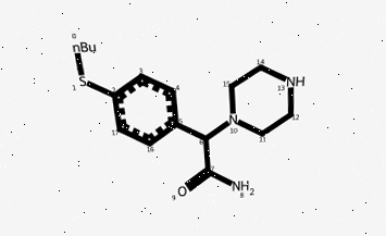 CCCCSc1ccc(C(C(N)=O)N2CCNCC2)cc1